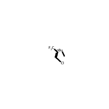 CCCCC.FC(F)(F)C=CCl